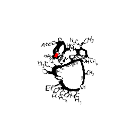 CCCNCC12OC1(OC)CC(O[C@H]1[C@H](C)[C@@H](O[C@@H]3O[C@H](C)CC(N(C)C)C3O)C(C)(O)C[C@@H](C)CN[C@H](C)[C@@H](O)[C@](C)(O)[C@@H](CC)OC(=O)[C@@H]1C)OC2C